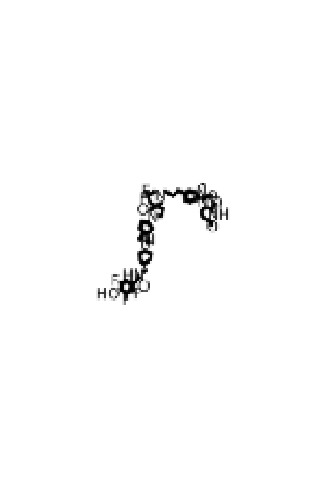 Cn1c(=O)n(C2CCC(=O)NC2=O)c2ccc(CCCN3CC(F)(F)CC4(CCN(c5ccc6cn([C@H]7CC[C@H](CNC(=O)c8cc(F)c(O)c(F)c8F)CC7)nc6c5)C4=O)C3)cc21